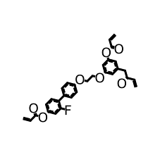 C=CC(=O)Cc1cc(OCCOc2ccc(-c3ccc(OC(=O)C=C)cc3F)cc2)cc(OC(=O)C=C)c1